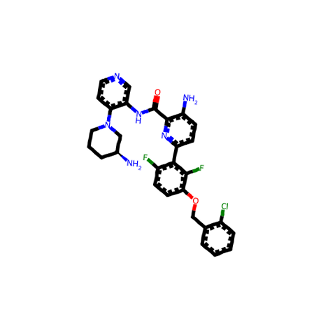 Nc1ccc(-c2c(F)ccc(OCc3ccccc3Cl)c2F)nc1C(=O)Nc1cnccc1N1CCC[C@H](N)C1